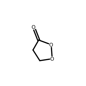 O=C1CCOO1